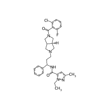 CCn1nc(C)cc1C(=O)NC(CCN1CC2CN(C(=O)c3c(F)cccc3Cl)C[C@@H]2C1)c1ccccc1